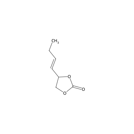 CCC=CC1COC(=O)O1